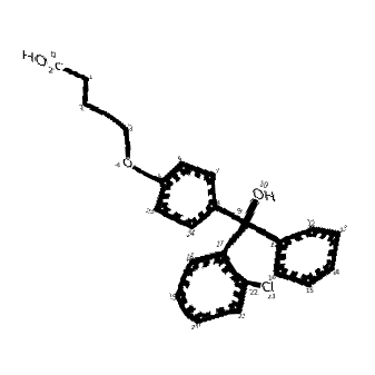 O=C(O)CCCOc1ccc(C(O)(c2ccccc2)c2ccccc2Cl)cc1